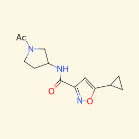 CC(=O)N1CCC(NC(=O)c2cc(C3CC3)on2)C1